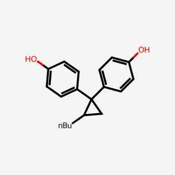 CCCCC1CC1(c1ccc(O)cc1)c1ccc(O)cc1